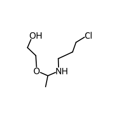 CC(NCCCCl)OCCO